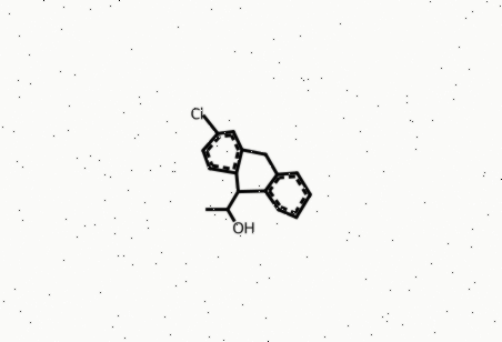 CC(O)C1c2ccccc2Cc2cc(Cl)ccc21